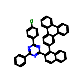 Clc1ccc(-c2nc(-c3ccccc3)nc(-c3ccc4ccccc4c3-c3ccc4c5ccccc5c5ccccc5c4c3)n2)cc1